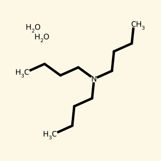 CCCCN(CCCC)CCCC.O.O